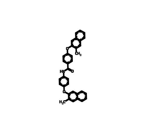 Cc1cc2ccccc2cc1Oc1ccc(NC(=O)c2ccc(Oc3cc4ccccc4cc3C)cc2)cc1